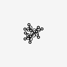 O=C(O[C@@H]1Cc2c(OCc3ccccc3)cc(OCc3ccccc3)c(Cc3ccccc3)c2O[C@H]1c1ccc(OCc2ccccc2)c(OCc2ccccc2)c1)c1cc(OCc2ccccc2)c(OCc2ccccc2)c(OCc2ccccc2)c1